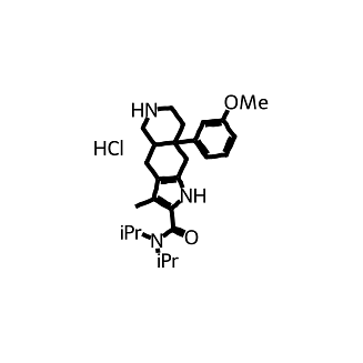 COc1cccc(C23CCNCC2Cc2c([nH]c(C(=O)N(C(C)C)C(C)C)c2C)C3)c1.Cl